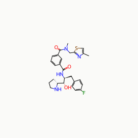 Cc1csc(CN(C)C(=O)c2cccc(C(=O)N[C@@H](Cc3ccc(F)cc3)[C@H](O)[C@H]3CCCN3)c2)n1